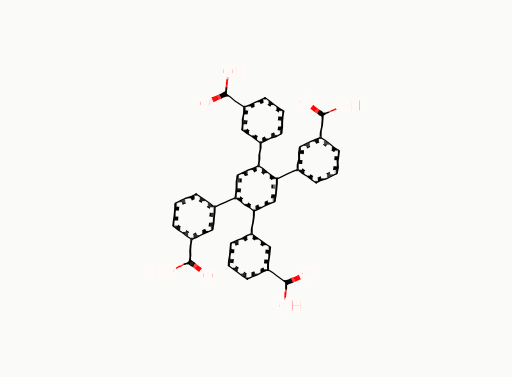 O=C(O)c1cccc(-c2cc(-c3cccc(C(=O)O)c3)c(-c3cccc(C(=O)O)c3)cc2-c2cccc(C(=O)O)c2)c1